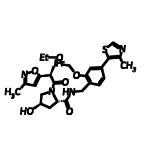 [CH2]COCCOc1cc(-c2scnc2C)ccc1CNC(=O)[C@@H]1C[C@@H](O)CN1C(=O)[C@@H](c1cc(C)no1)C(C)C